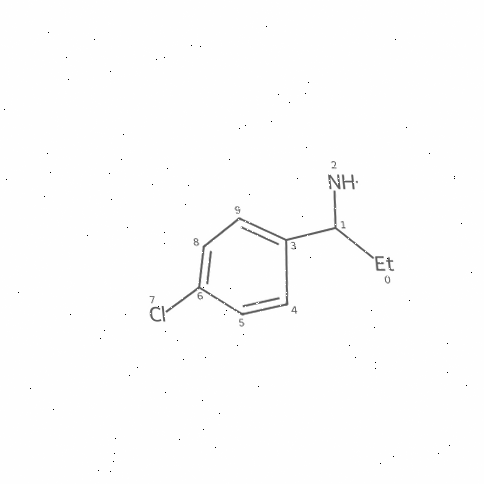 CCC([NH])c1ccc(Cl)cc1